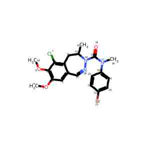 COc1cc2c(c(Cl)c1OC)CC(C)N(C(=O)N(C)c1ccc(Br)cc1)N=C2